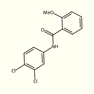 COc1ccccc1C(=O)Nc1ccc(Cl)c(Cl)c1